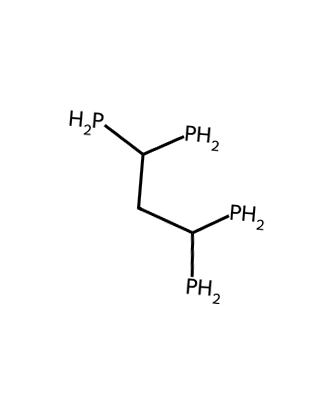 PC(P)CC(P)P